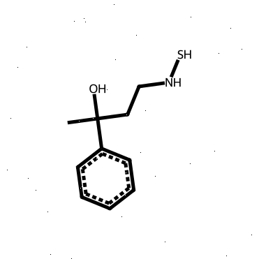 CC(O)(CCNS)c1ccccc1